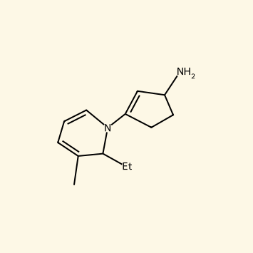 CCC1C(C)=CC=CN1C1=CC(N)CC1